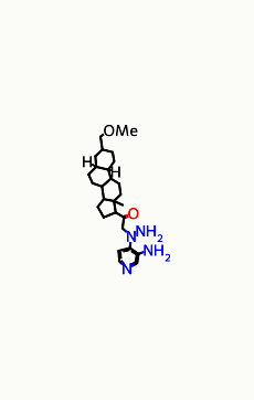 COCC1CC[C@@H]2C3CCC4(C)C(C(=O)CN(N)c5ccncc5N)CCC4C3CC[C@@H]2C1